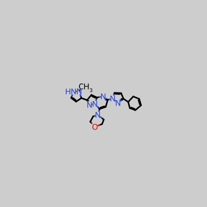 CN1NC=CC1c1cc2nc(-n3ccc(C4C=CC=CC4)n3)cc(N3CCOCC3)n2n1